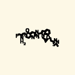 Cc1nnc(CCOc2cccc3cc(-c4nc5cc6c(nc5n4C)CCN(C[C@H](N)CF)C6=O)n(CC4CC4)c23)s1